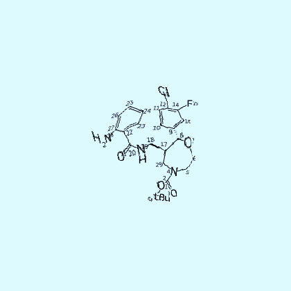 CC(C)(C)OC(=O)N1CCO[C@@H](c2ccc(Cl)c(F)c2)[C@H](CNC(=O)c2ccccc2N)C1